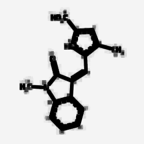 Cc1cc(C(=O)O)[nH]c1C=C1C(=O)N(C)c2ccccc21